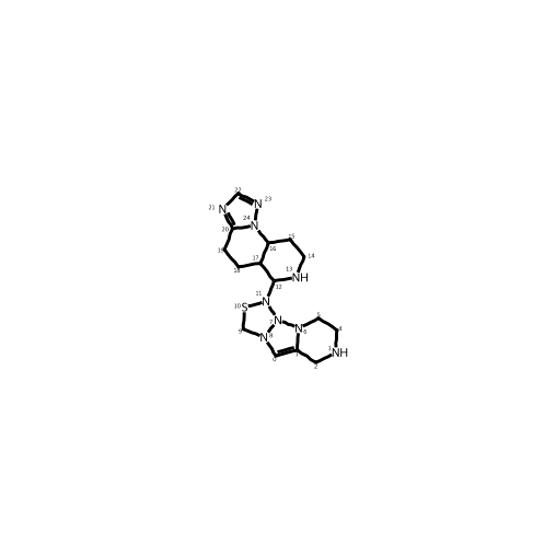 C1=C2CNCCN2N2N1CSN2C1NCCC2C1CCc1ncnn12